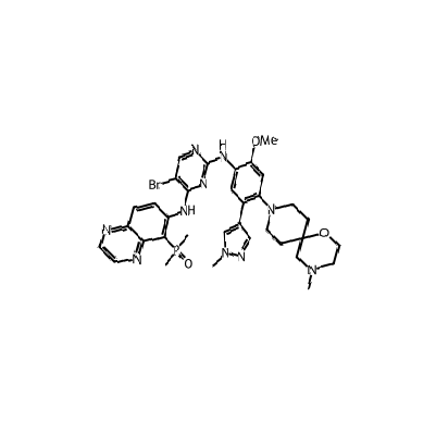 COc1cc(N2CCC3(CC2)CN(C)CCO3)c(-c2cnn(C)c2)cc1Nc1ncc(Br)c(Nc2ccc3nccnc3c2P(C)(C)=O)n1